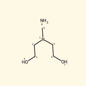 CN(CCO)CCO.N